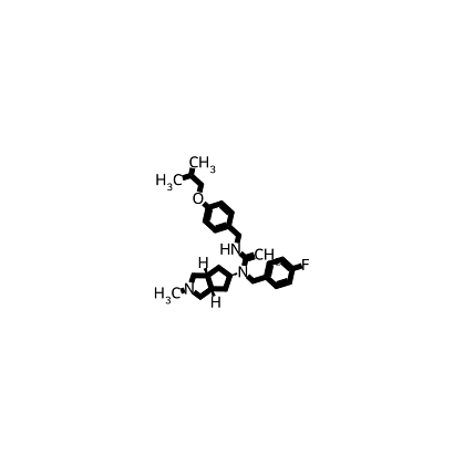 C=C(NCc1ccc(OCC(C)C)cc1)N(Cc1ccc(F)cc1)[C@@H]1C[C@@H]2CN(C)C[C@@H]2C1